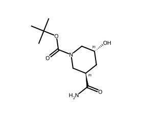 CC(C)(C)OC(=O)N1C[C@H](O)C[C@@H](C(N)=O)C1